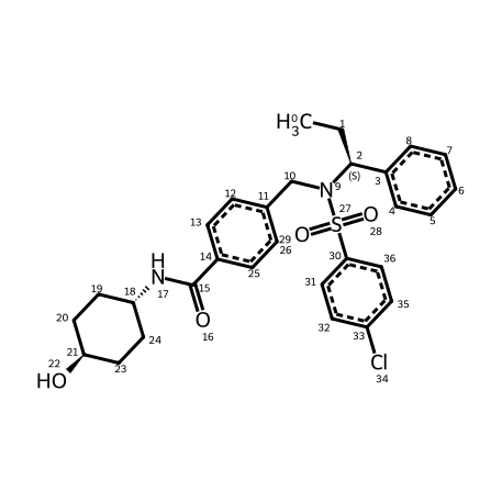 CC[C@@H](c1ccccc1)N(Cc1ccc(C(=O)N[C@H]2CC[C@H](O)CC2)cc1)S(=O)(=O)c1ccc(Cl)cc1